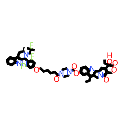 CCc1c2c(nc3ccc(OC(=O)N4CCN(C(=O)CCCCCOc5cc(F)c(C6c7[nH]c8ccccc8c7C[C@@H](C)N6CC(C)(C)F)c(F)c5)CC4)cc13)-c1cc3c(c(=O)n1C2)COC(=O)[C@]3(O)CC